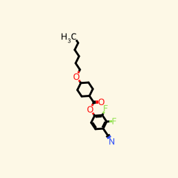 CCCCCCOC1CCC(C(=O)Oc2ccc(C#N)c(F)c2F)CC1